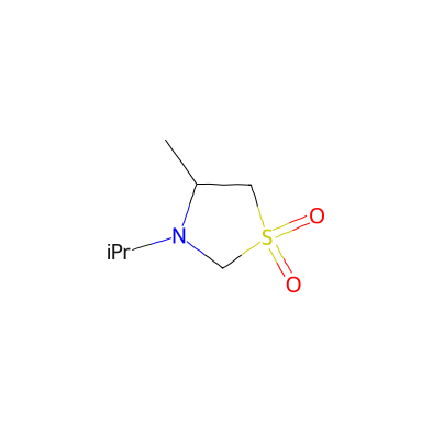 CC(C)N1CS(=O)(=O)CC1C